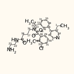 CCc1cnccc1-c1cccc([C@H](C)N(CCCC(=O)NCCN)S(=O)(=O)c2cccc(Cl)c2C)c1